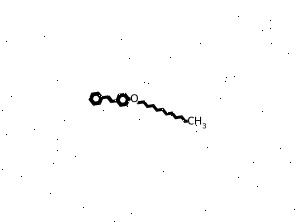 CCCCCCCCCCCCOc1ccc(C=Cc2ccccc2)cc1